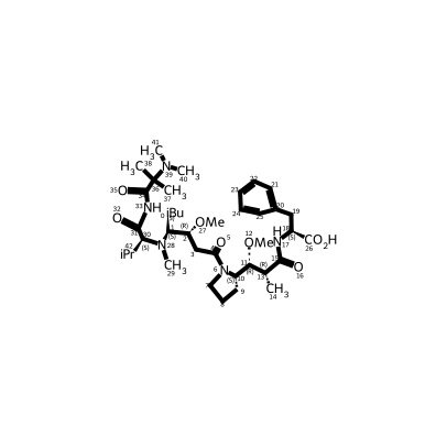 CC[C@H](C)[C@@H]([C@@H](CC(=O)N1CCC[C@H]1[C@H](OC)[C@@H](C)C(=O)N[C@@H](Cc1ccccc1)C(=O)O)OC)N(C)[C@H](C(=O)NC(=O)C(C)(C)N(C)C)C(C)C